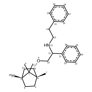 CC1(C)[C@@H]2CC[C@@]1(C)[C@@H](OCC(NCCc1ccccc1)c1ccccc1)C2